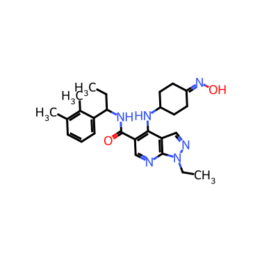 CCC(NC(=O)c1cnc2c(cnn2CC)c1NC1CCC(=NO)CC1)c1cccc(C)c1C